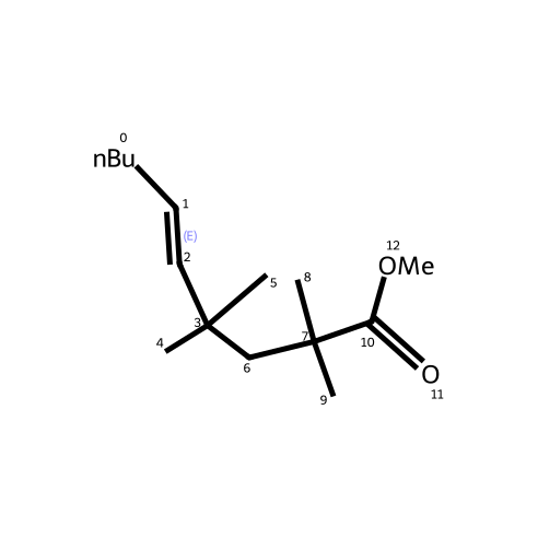 CCCC/C=C/C(C)(C)CC(C)(C)C(=O)OC